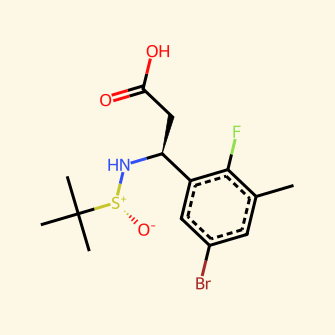 Cc1cc(Br)cc([C@H](CC(=O)O)N[S@+]([O-])C(C)(C)C)c1F